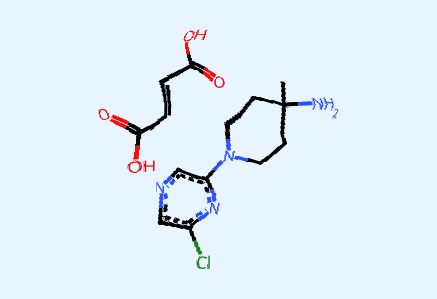 CC1(N)CCN(c2cncc(Cl)n2)CC1.O=C(O)C=CC(=O)O